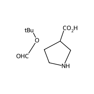 CC(C)(C)OC=O.O=C(O)C1CCNC1